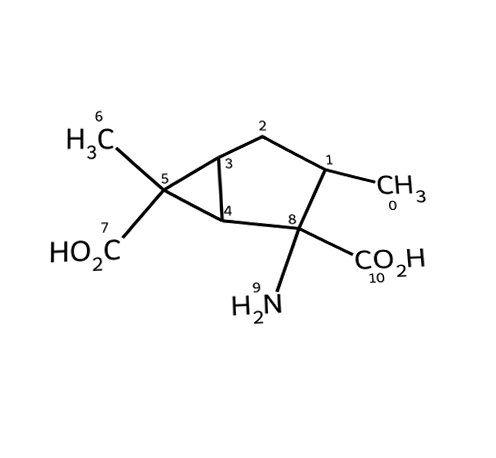 CC1CC2C(C2(C)C(=O)O)C1(N)C(=O)O